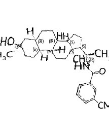 C[C@@H](NC(=O)c1cccc(C#N)c1)[C@H]1CC[C@H]2[C@@H]3CC[C@@H]4C[C@](C)(O)CC[C@@H]4[C@H]3CC[C@]12C